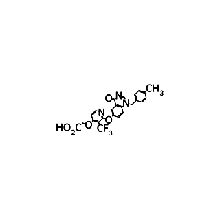 Cc1ccc(Cn2cnc(=O)c3cc(Oc4nccc(OCC(=O)O)c4C(F)(F)F)ccc32)cc1